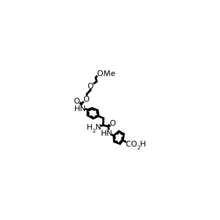 COCCOCCOC(=O)Nc1ccc(CC(N)C(=O)Nc2ccc(C(=O)O)cc2)cc1